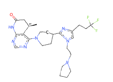 C[C@@H]1CC(=O)Nc2ncnc(N3CCC(c4nc(CCC(F)(F)F)cn4CCN4CCCC4)CC3)c21